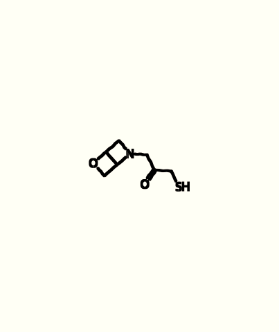 O=C(CS)CN1CC2OCC21